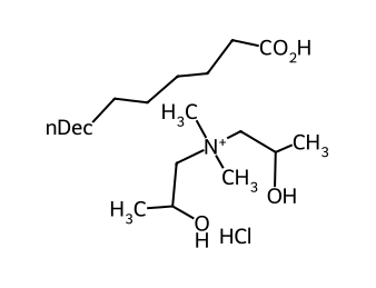 CC(O)C[N+](C)(C)CC(C)O.CCCCCCCCCCCCCCCC(=O)O.Cl